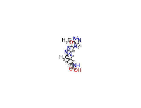 COc1ncnc2ccn(-c3cnc4nc(C)n(Cc5cccc(NC(=O)O)c5)c4c3)c12